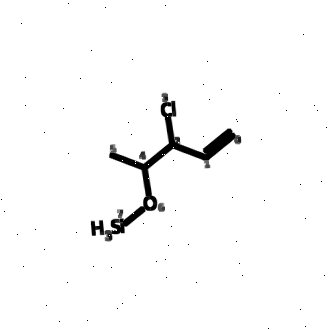 C=CC(Cl)C(C)O[SiH3]